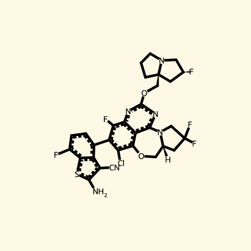 N#Cc1c(N)sc2c(F)ccc(-c3c(Cl)c4c5c(nc(OC[C@@]67CCCN6C[C@H](F)C7)nc5c3F)N3CC(F)(F)C[C@@H]3CO4)c12